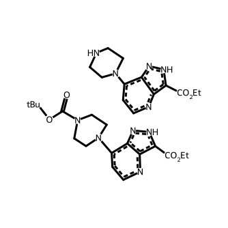 CCOC(=O)c1[nH]nc2c(N3CCN(C(=O)OC(C)(C)C)CC3)ccnc12.CCOC(=O)c1[nH]nc2c(N3CCNCC3)ccnc12